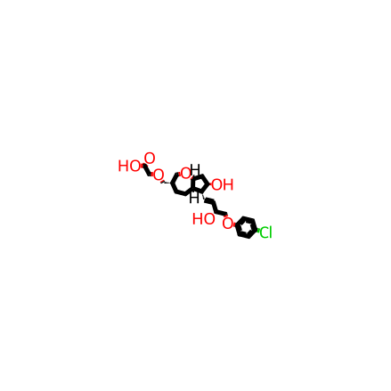 O=C(O)COC[C@H]1CC[C@@H]2[C@@H](/C=C/[C@@H](O)COc3ccc(Cl)cc3)[C@H](O)C[C@@H]2OC1